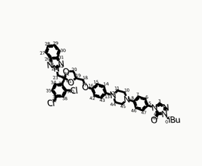 CCC(C)n1ncn(-c2ccc(N3CCN(c4ccc(OCC5COC(Cn6nc7ccccc7n6)(c6ccc(Cl)cc6Cl)O5)cc4)CC3)cc2)c1=O